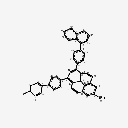 CC1CC=C(c2ccc(C3=C4C=Cc5cc(C(C)(C)C)cc6c5C4C(C)(C=C6)C(c4ccc(-c5cccc6ccccc56)cc4)=C3)cc2)C=N1